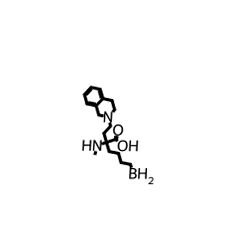 BCCCCC(CCN1CCc2ccccc2C1)(NC)C(=O)O